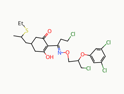 CCSC(C)CC1CC(=O)C(/C(CCCl)=N/OCC(CCl)Oc2cc(Cl)cc(Cl)c2)=C(O)C1